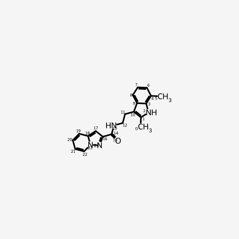 Cc1[nH]c2c(C)cccc2c1CCNC(=O)c1cc2ccccn2n1